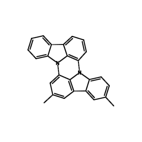 Cc1ccc2c(c1)c1cc(C)cc3c1n2c1cccc2c4ccccc4n3c21